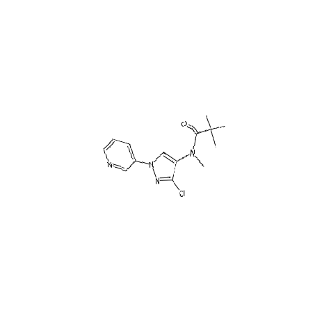 CN(C(=O)C(C)(C)C)c1cn(-c2cccnc2)nc1Cl